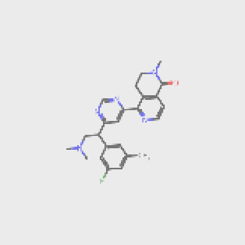 CN(C)CC(c1cc(F)cc(C(F)(F)F)c1)c1cc(-c2nccc3c2CCN(C)C3=O)ncn1